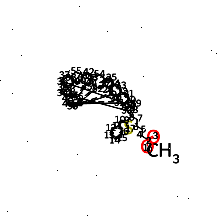 COC(=O)CCCCC1(c2cc3ccccc3s2)C23C=c4cc5cc6cc7c8c6c6c5c5c4C21c1c2c(cc4c9c%10c(cc(c%11c%10c%10c(c1c5c6c%10c8%11)c29)C7)C4)C3